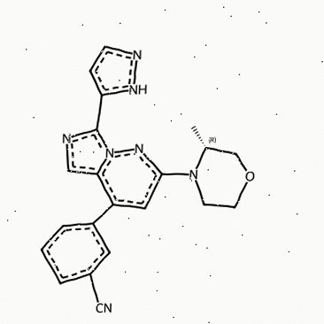 C[C@@H]1COCCN1c1cc(-c2cccc(C#N)c2)c2cnc(-c3ccn[nH]3)n2n1